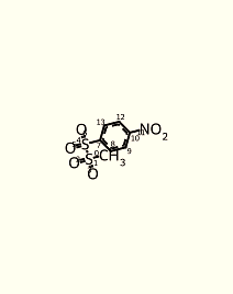 CS(=O)(=O)S(=O)(=O)c1ccc([N+](=O)[O-])cc1